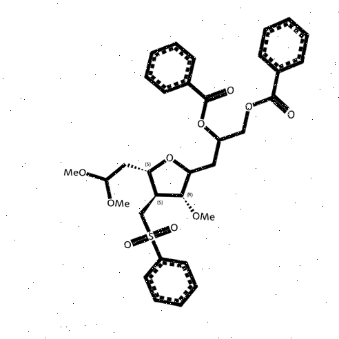 COC(C[C@@H]1OC(CC(COC(=O)c2ccccc2)OC(=O)c2ccccc2)[C@H](OC)[C@H]1CS(=O)(=O)c1ccccc1)OC